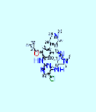 Cc1nn(C)cc1Nc1nc(Nc2cc(C#N)c(C3CCN(C)CC3)cc2OC2CC2)ncc1Cl